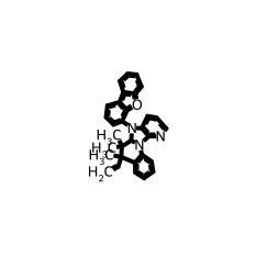 C=CC1(C)c2ccccc2N2c3ncccc3N(c3cccc4c3oc3ccccc34)C2C1(C)C